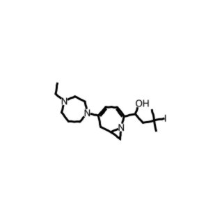 CCN1CCCN(C2=CC=C(C(O)CC(C)(C)I)N3CC3C2)CC1